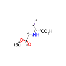 CC(C)(C)OC(=O)CN[C@H](CI)C(=O)O